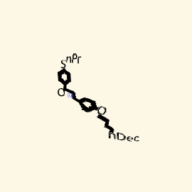 CCCCCCCCCCCCCCOc1ccc(/C=C/C(=O)c2ccc(SCCC)cc2)cc1